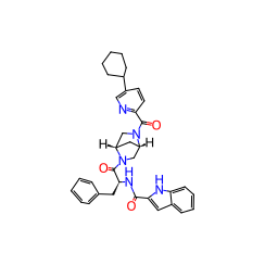 O=C(N[C@@H](Cc1ccccc1)C(=O)N1C[C@@H]2C[C@H]1CN2C(=O)c1ccc(C2CCCCC2)cn1)c1cc2ccccc2[nH]1